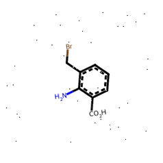 Nc1c(CBr)cccc1C(=O)O